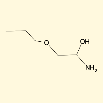 CCCOCC(N)O